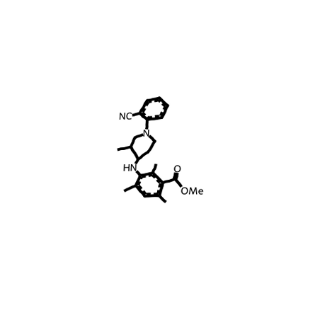 COC(=O)c1c(C)cc(C)c(NC2CCN(c3ccccc3C#N)CC2C)c1C